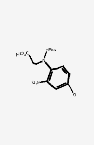 CC(C)(C)N(CC(=O)O)c1ccc(Cl)cc1[N+](=O)[O-]